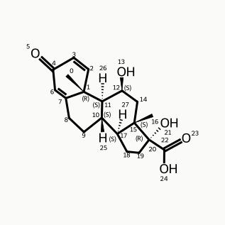 C[C@]12C=CC(=O)C=C1CC[C@@H]1[C@@H]2[C@@H](O)C[C@@]2(C)[C@H]1CC[C@]2(O)C(=O)O